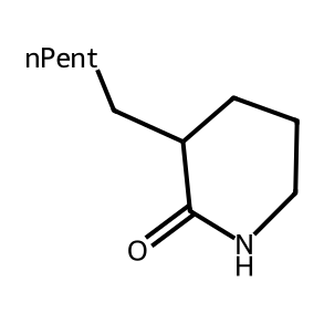 CCCCCCC1CCCNC1=O